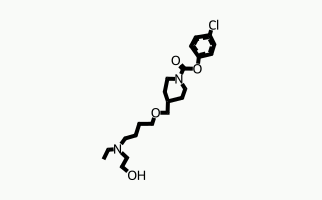 CCN(CCO)CCCCOCC1CCN(C(=O)Oc2ccc(Cl)cc2)CC1